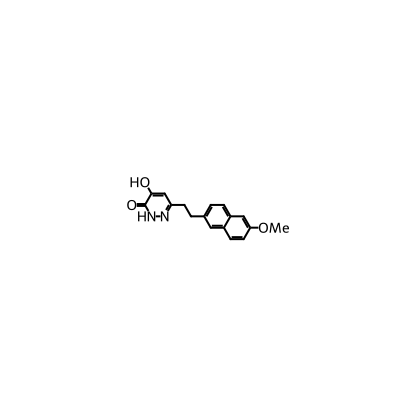 COc1ccc2cc(CCc3cc(O)c(=O)[nH]n3)ccc2c1